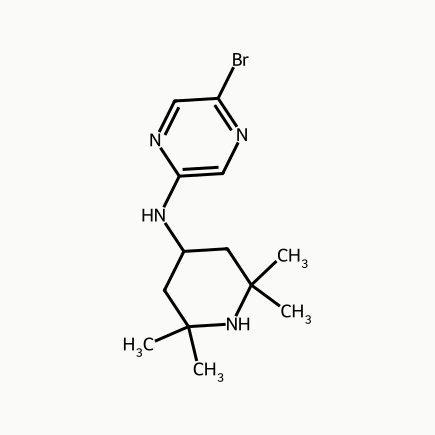 CC1(C)CC(Nc2cnc(Br)cn2)CC(C)(C)N1